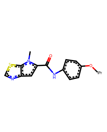 CC(C)Oc1ccc(NC(=O)c2cc3ncsc3n2C)cc1